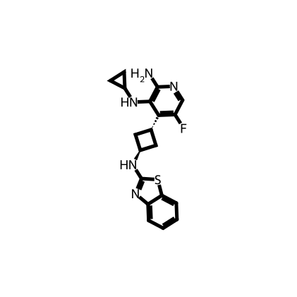 Nc1ncc(F)c([C@H]2C[C@H](Nc3nc4ccccc4s3)C2)c1NC1CC1